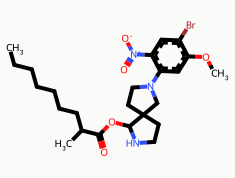 CCCCCCCC(C)C(=O)OC1NCCC12CCN(c1cc(OC)c(Br)cc1[N+](=O)[O-])C2